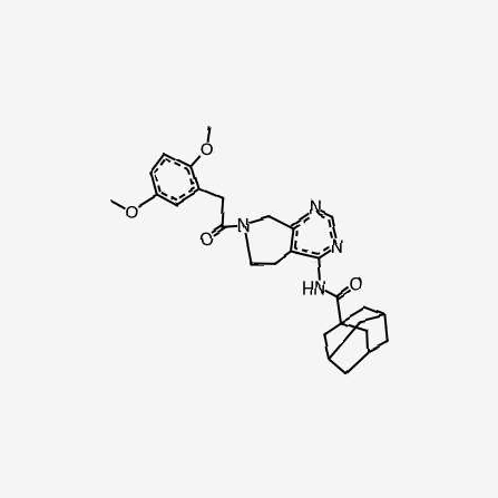 COc1ccc(OC)c(CC(=O)N2CCc3c(ncnc3NC(=O)C34CC5CC(CC(C5)C3)C4)C2)c1